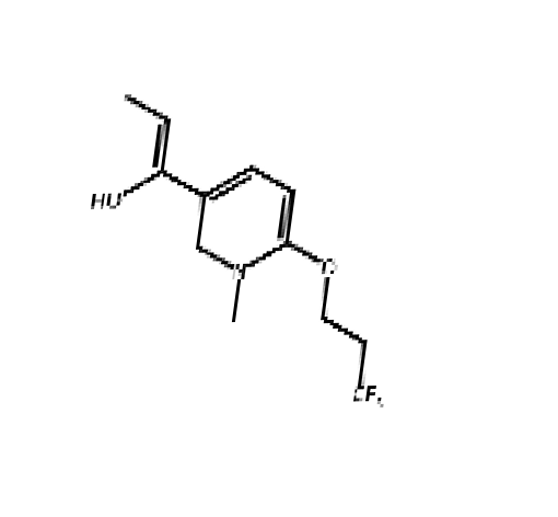 CC=C(O)C1=CC=C(OCCC(F)(F)F)N(C)C1